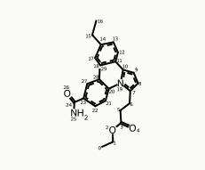 CCOC(=O)CCc1ccc(-c2ccc(CC)cc2)n1-c1ccc(C(N)=O)cc1C